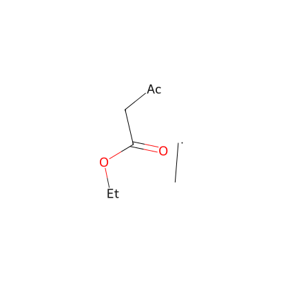 CCOC(=O)CC(C)=O.[CH2]C